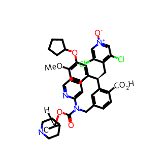 COc1ccc([C@@H](Cc2c(Cl)c[n+]([O-])cc2Cl)c2cc(CN(C(=O)O[C@H]3CN4CCC3CC4)c3ccccn3)ccc2C(=O)O)cc1OC1CCCC1